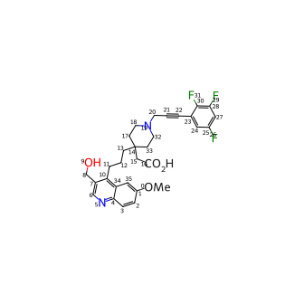 COc1ccc2ncc(CO)c(CCCC3(CC(=O)O)CCN(CC#Cc4cc(F)cc(F)c4F)CC3)c2c1